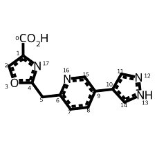 O=C(O)c1coc(Cc2ccc(-c3cn[nH]c3)cn2)n1